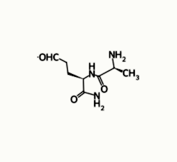 C[C@H](N)C(=O)N[C@H](CC[C]=O)C(N)=O